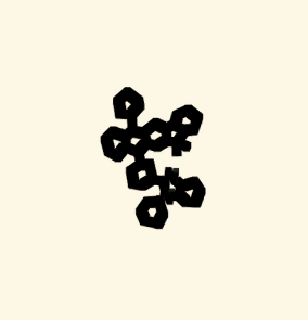 CC1(C)c2ccccc2-c2cc3c(-c4ccccc4)c4ccccc4c(-c4cccc(-c5nc6ccccc6n5-c5ccccc5)c4)c3cc21